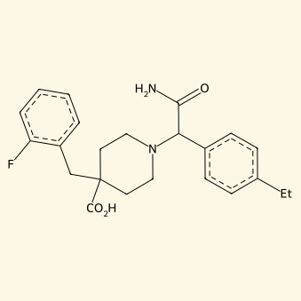 CCc1ccc(C(C(N)=O)N2CCC(Cc3ccccc3F)(C(=O)O)CC2)cc1